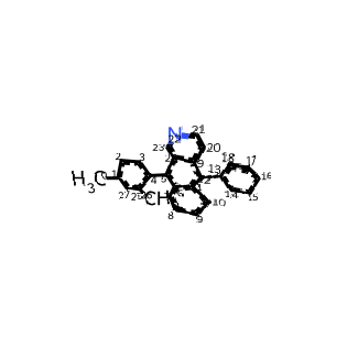 Cc1ccc(-c2c3ccccc3c(-c3ccccc3)c3ccncc23)c(C)c1